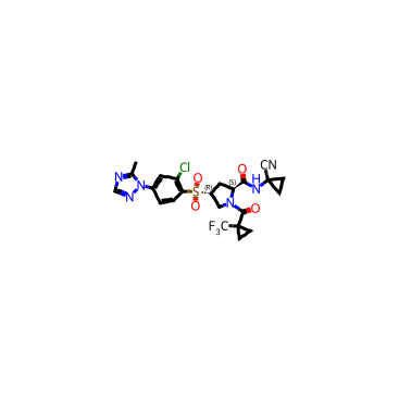 Cc1ncnn1-c1ccc(S(=O)(=O)[C@@H]2C[C@@H](C(=O)NC3(C#N)CC3)N(C(=O)C3(C(F)(F)F)CC3)C2)c(Cl)c1